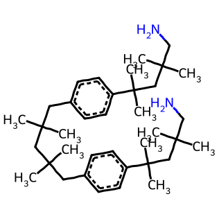 CC(C)(Cc1ccc(C(C)(C)CC(C)(C)CN)cc1)CC(C)(C)Cc1ccc(C(C)(C)CC(C)(C)CN)cc1